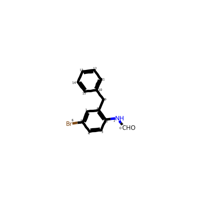 O=CNc1ccc(Br)cc1Cc1ccccc1